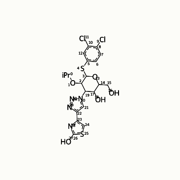 CC(C)OC1C(Sc2ccc(Cl)c(Cl)c2)OC(CO)C(O)C1n1cc(-c2csc(O)n2)nn1